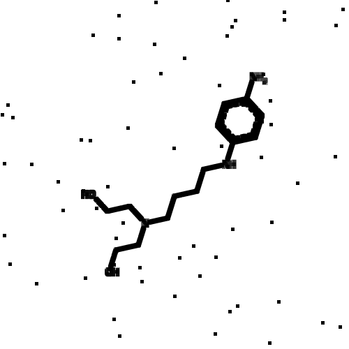 Nc1ccc(NCCCCN(CCO)CCO)cc1